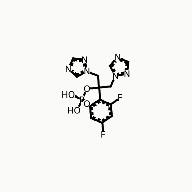 O=P(O)(O)OC(Cn1cncn1)(Cn1cncn1)c1ccc(F)cc1F